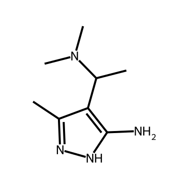 Cc1n[nH]c(N)c1C(C)N(C)C